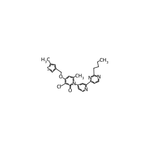 CCCCc1nccc(-c2cc(-n3c(C)cc(OCc4csc(C)c4)c(Cl)c3=O)ccn2)n1